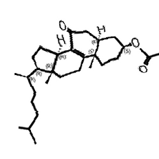 CC(=O)O[C@H]1CC[C@]2(C)C3=C(C(=O)C[C@H]2C1)[C@@H]1CC[C@H]([C@H](C)CCCC(C)C)[C@@]1(C)CC3